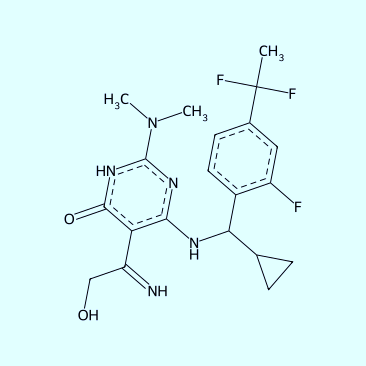 CN(C)c1nc(NC(c2ccc(C(C)(F)F)cc2F)C2CC2)c(C(=N)CO)c(=O)[nH]1